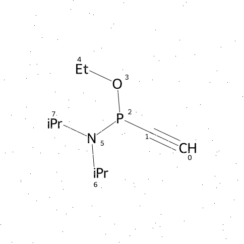 C#CP(OCC)N(C(C)C)C(C)C